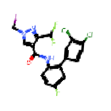 O=C(Nc1ccc(F)cc1-c1ccc(Cl)c(Cl)c1)c1cn(CI)nc1C(F)F